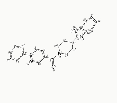 O=C(c1ccc(-c2ccccc2)nc1)N1CCC(c2nc3ccccc3[nH]2)CC1